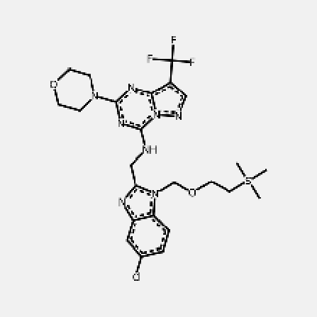 CS(C)(C)CCOCn1c(CNc2nc(N3CCOCC3)nc3c(C(F)(F)F)cnn23)nc2cc(Cl)ccc21